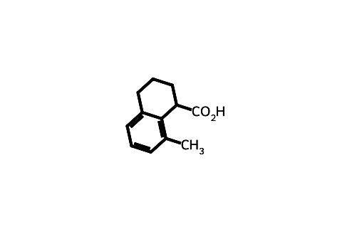 Cc1cccc2c1C(C(=O)O)CCC2